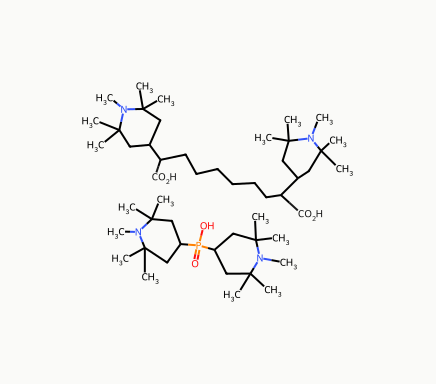 CN1C(C)(C)CC(C(CCCCCCC(C(=O)O)C2CC(C)(C)N(C)C(C)(C)C2)C(=O)O)CC1(C)C.CN1C(C)(C)CC(P(=O)(O)C2CC(C)(C)N(C)C(C)(C)C2)CC1(C)C